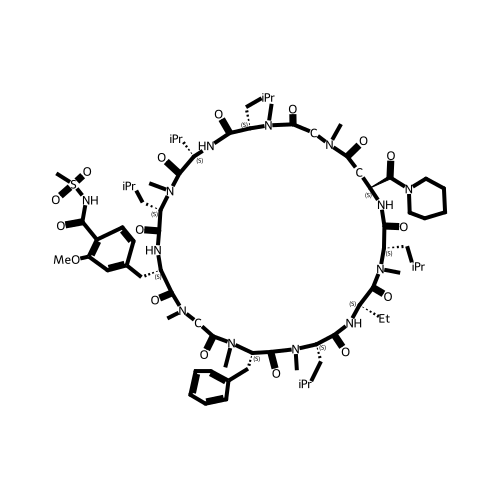 CC[C@@H]1NC(=O)[C@H](CC(C)C)N(C)C(=O)[C@H](Cc2ccccc2)N(C)C(=O)CN(C)C(=O)[C@H](Cc2ccc(C(=O)NS(C)(=O)=O)c(OC)c2)NC(=O)[C@H](CC(C)C)N(C)C(=O)[C@H](C(C)C)NC(=O)[C@H](CC(C)C)N(C)C(=O)CN(C)C(=O)C[C@@H](C(=O)N2CCCCC2)NC(=O)[C@H](CC(C)C)N(C)C1=O